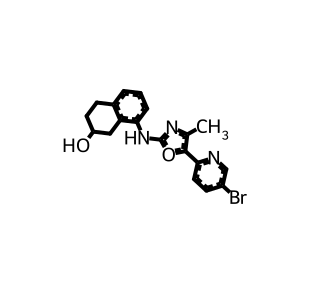 Cc1nc(Nc2cccc3c2CC(O)CC3)oc1-c1ccc(Br)cn1